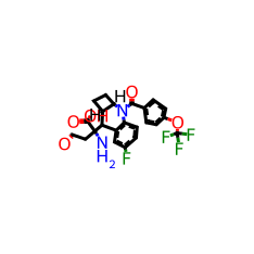 NC(CC=O)(C(=O)O)C1c2cc(F)ccc2N(C(=O)c2ccc(OC(F)(F)F)cc2)[C@@H]2CC[C@H]12